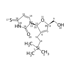 C[Si](C)(C)CCC1=C[C@H](CO)O[C@@H]1n1ccc(=S)[nH]c1=O